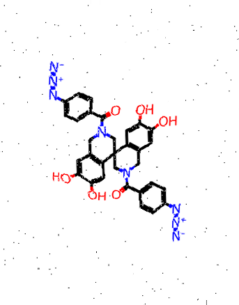 [N-]=[N+]=Nc1ccc(C(=O)N2Cc3cc(O)c(O)cc3C3(C2)CN(C(=O)c2ccc(N=[N+]=[N-])cc2)Cc2cc(O)c(O)cc23)cc1